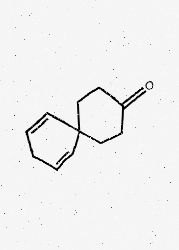 O=C1CCC2(C=CCC=C2)CC1